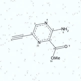 C#Cc1cnc(N)c(C(=O)OC)n1